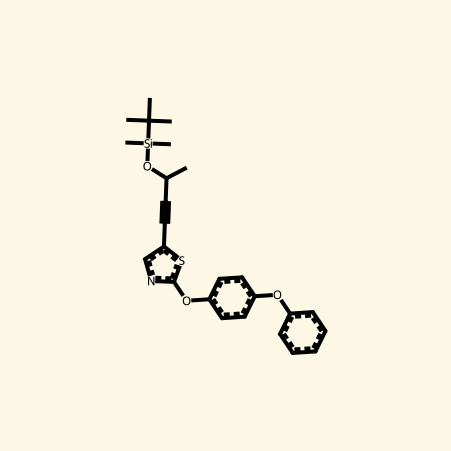 CC(C#Cc1cnc(Oc2ccc(Oc3ccccc3)cc2)s1)O[Si](C)(C)C(C)(C)C